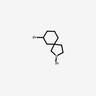 CC(C)C1CCCC2(CCN(C(C)C)C2)C1